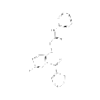 O=C(COc1ccc(Cl)cc1C(=O)c1ccccc1)Nc1ccccc1